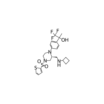 CC(O)(c1ccc(N2CCN(S(=O)(=O)c3cccs3)C[C@@H]2CNC2CCC2)cc1)C(F)(F)F